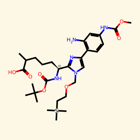 COC(=O)Nc1ccc(-c2cn(COCC[Si](C)(C)C)c([C@H](CCCC(C)C(=O)O)NC(=O)OC(C)(C)C)n2)c(N)c1